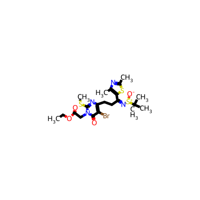 CCOC(=O)Cn1c(SC)nc(CC/C(=N/[S+]([O-])C(C)(C)C)c2sc(C)nc2C)c(Br)c1=O